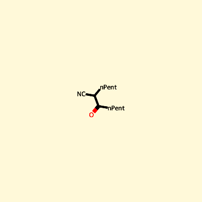 CCCCCC(=O)C(C#N)CCCCC